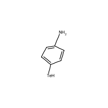 Nc1ccc([TeH])cc1